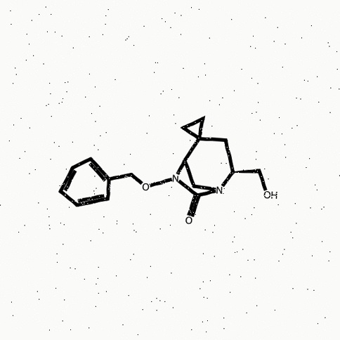 O=C1N(OCc2ccccc2)C2CN1[C@H](CO)CC21CC1